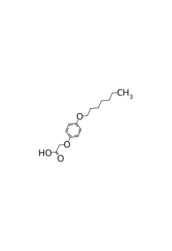 CCCCCCCOc1ccc(OCC(=O)O)cc1